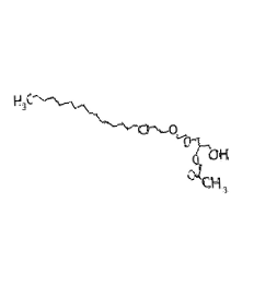 CCCCCCCCCCCCCCCCOCCOCCOCC(CO)OCC(C)=O